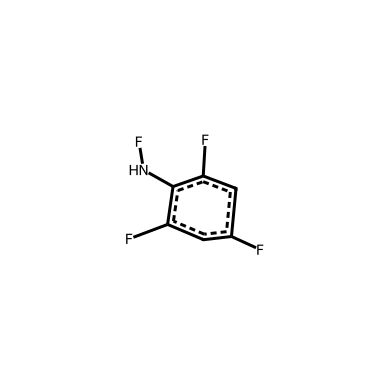 FNc1c(F)cc(F)cc1F